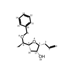 C=CC[C@H]1O[C@@H]([C@@H](C)OCc2ccccc2)C[C@H]1O